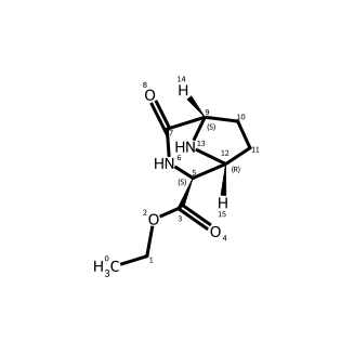 CCOC(=O)[C@H]1NC(=O)[C@@H]2CC[C@H]1N2